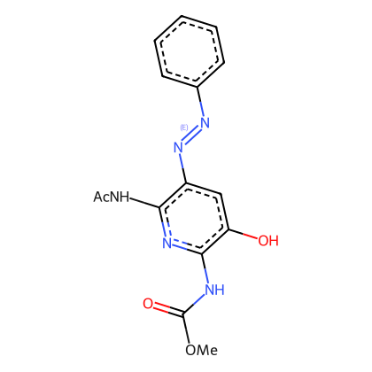 COC(=O)Nc1nc(NC(C)=O)c(/N=N/c2ccccc2)cc1O